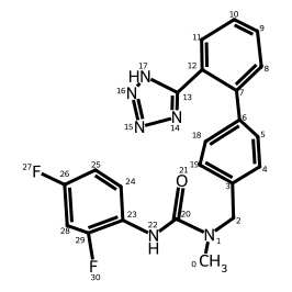 CN(Cc1ccc(-c2ccccc2-c2nnn[nH]2)cc1)C(=O)Nc1ccc(F)cc1F